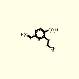 C=Cc1ccc(C(=O)O)c(CCC#N)c1